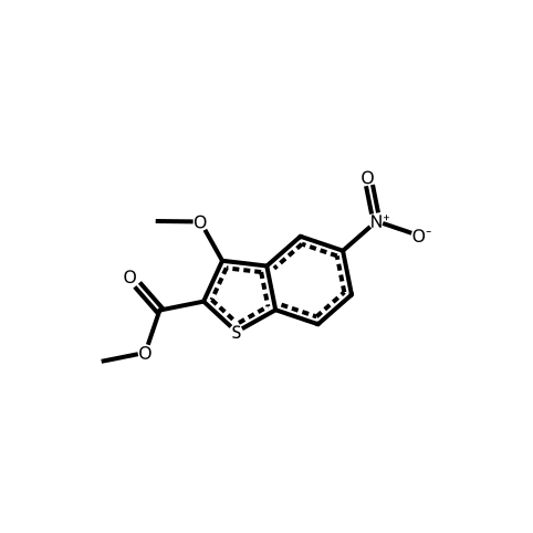 COC(=O)c1sc2ccc([N+](=O)[O-])cc2c1OC